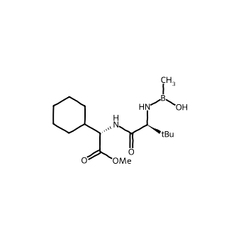 COC(=O)[C@@H](NC(=O)[C@@H](NB(C)O)C(C)(C)C)C1CCCCC1